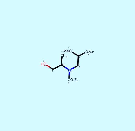 CCOC(=O)N(CC(OC)OC)[C@H](C)CO